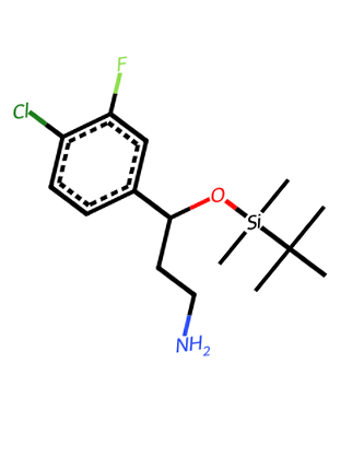 CC(C)(C)[Si](C)(C)OC(CCN)c1ccc(Cl)c(F)c1